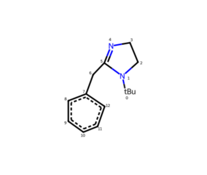 CC(C)(C)N1CCN=C1Cc1ccccc1